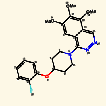 COc1cc2c(N3CCC(Oc4ccccc4F)CC3)nncc2c(OC)c1OC